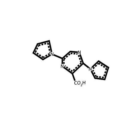 O=C(O)c1nc(-n2cccc2)cnc1-n1cccc1